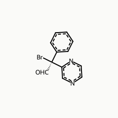 O=C[C@](Br)(c1ccccc1)c1cnccn1